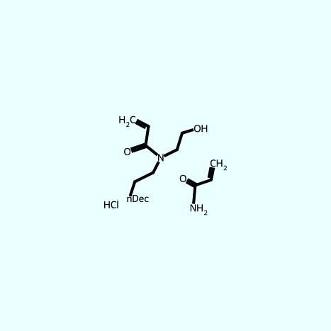 C=CC(=O)N(CCO)CCCCCCCCCCCC.C=CC(N)=O.Cl